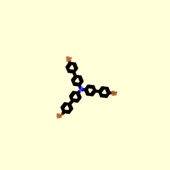 Brc1ccc(-c2ccc(N(c3ccc(-c4ccc(Br)cc4)cc3)c3ccc(-c4ccc(Br)cc4)cc3)cc2)cc1